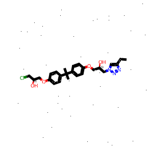 CCc1cn(C[C@H](O)COc2ccc(C(C)(C)c3ccc(OC[C@@H](O)CCl)cc3)cc2)nn1